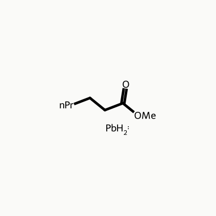 CCCCCC(=O)OC.[PbH2]